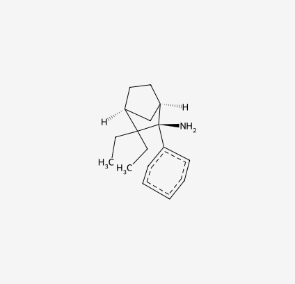 CCC1(CC)[C@H]2CC[C@H](C2)[C@]1(N)c1ccccc1